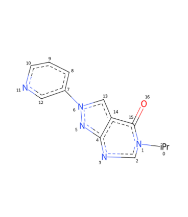 CC(C)n1cnc2nn(-c3cccnc3)cc2c1=O